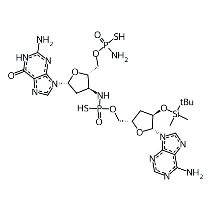 CC(C)(C)[Si](C)(C)O[C@@H]1C[C@@H](COP(=O)(S)N[C@H]2C[C@H](n3cnc4c(=O)[nH]c(N)nc43)O[C@@H]2COP(N)(=O)S)O[C@H]1n1cnc2c(N)ncnc21